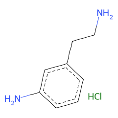 Cl.NCCc1cccc(N)c1